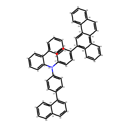 c1ccc(-c2ccccc2N(c2ccc(-c3cccc4ccccc34)cc2)c2ccc(-c3cc4c5ccccc5ccc4c4ccccc34)cc2)cc1